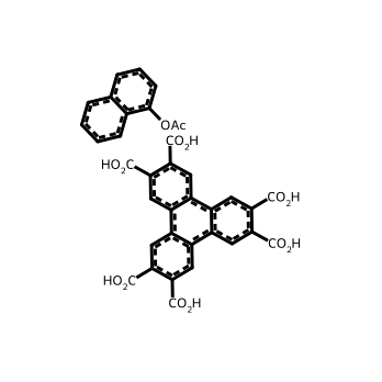 CC(=O)Oc1cccc2ccccc12.O=C(O)c1cc2c3cc(C(=O)O)c(C(=O)O)cc3c3cc(C(=O)O)c(C(=O)O)cc3c2cc1C(=O)O